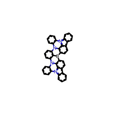 c1ccc2c(c1)N1c3cccc4c3B(c3ccc5c6ccccc6n-2c5c31)c1ccc2c3ccccc3n3c2c1N4c1ccccc1-3